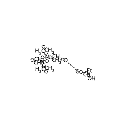 CCC(CC(C)c1ccc(OCCCCCCCCCCOc2ccc(-c3ccc(C(C)(C)c4ccc(N(c5ccc(C(C)(C)c6ccccc6)cc5)c5c6ccccc6c(N(c6ccc(C(C)(C)c7ccccc7)cc6)c6ccc(C(C)(C)c7ccccc7)cc6)c6ccccc56)cc4)cc3)cc2)cc1)c1ccc(O)cc1